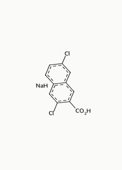 O=C(O)c1cc2cc(Cl)ccc2cc1Cl.[NaH]